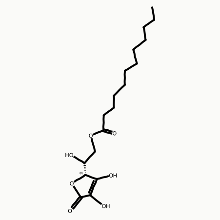 CCCCCCCCCCCC(=O)OCC(O)[C@H]1OC(=O)C(O)=C1O